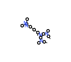 Cc1ccc(N(c2ccccc2)c2ccc3c(c2)c2cc(N(c4ccccc4)c4ccc(C)cc4)ccc2n3-c2ccc(-c3ccc(-c4ccc(-c5cc(-c6ccccc6)nc(-c6ccccc6)n5)cc4)cc3)cc2C)cc1